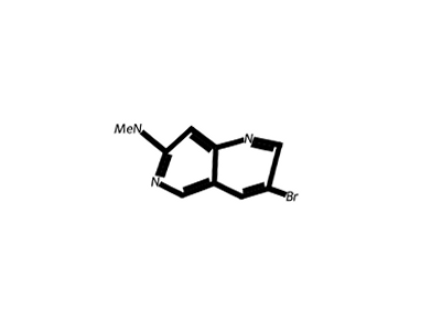 CNc1cc2ncc(Br)cc2cn1